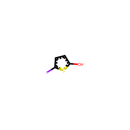 Oc1ccc(I)s1